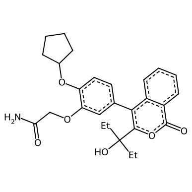 CCC(O)(CC)c1oc(=O)c2ccccc2c1-c1ccc(OC2CCCC2)c(OCC(N)=O)c1